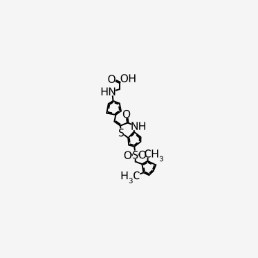 Cc1cccc(C)c1CS(=O)(=O)c1ccc2c(c1)S/C(=C/c1ccc(NCC(=O)O)cc1)C(=O)N2